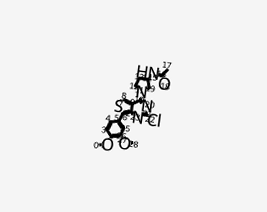 COc1ccc(-c2scc3c(N4CC[C@@H](NC(C)=O)C4)nc(Cl)nc23)cc1OC